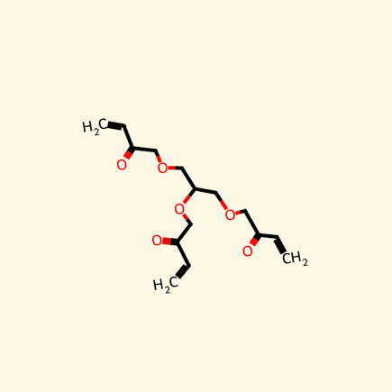 C=CC(=O)COCC(COCC(=O)C=C)OCC(=O)C=C